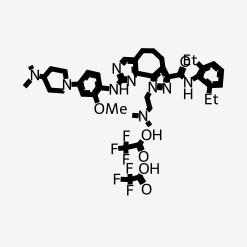 CCc1cccc(CC)c1NC(=O)c1nn(CCN(C)C)c2c1CCCc1cnc(Nc3ccc(N4CCC(N(C)C)CC4)cc3OC)nc1-2.O=C(O)C(F)(F)F.O=C(O)C(F)(F)F